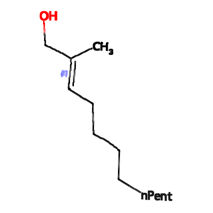 CCCCCCCCC/C=C(\C)CO